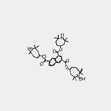 CC1(C)CCC(OC(=O)c2ccc3cc(C(=O)OC4CCC(C)(C)N(O)C(C)(C)C4)cc(C(=O)OC4CCC(C)(C)NC(C)(C)C4)c3c2)CC(C)(C)N1